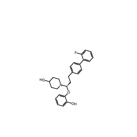 Oc1ccccc1O[C@H](CCc1ccc(-c2ccccc2F)cc1)N1CCC(O)CC1